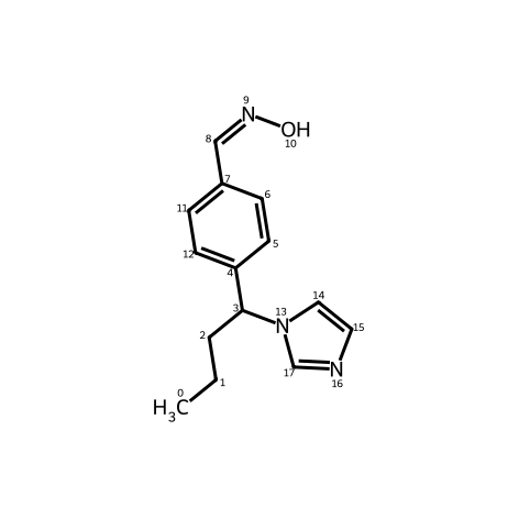 CCCC(c1ccc(/C=N\O)cc1)n1ccnc1